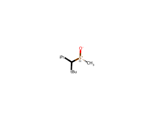 CC(C)C([S@@+](C)[O-])C(C)(C)C